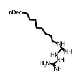 CCCCCCCCCCCCCCCCCCNC(=N)NNC(=N)N